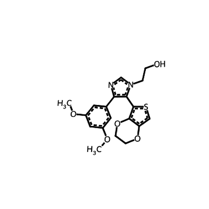 COc1cc(OC)cc(-c2ncn(CCO)c2-c2scc3c2OCCO3)c1